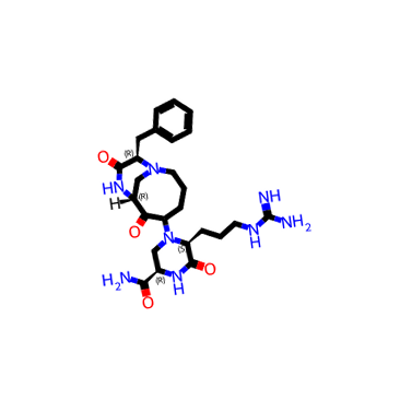 N=C(N)NCCC[C@H]1C(=O)N[C@@H](C(N)=O)CN1C1CCCN2C[C@@H](NC(=O)[C@H]2Cc2ccccc2)C1=O